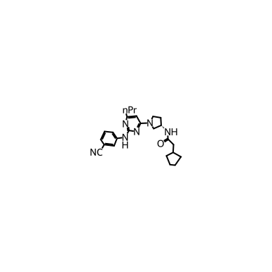 CCCc1cc(N2CC[C@H](NC(=O)CC3CCCC3)C2)nc(Nc2cccc(C#N)c2)n1